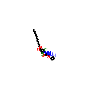 CCCCCCCCCCCCCCOC(=O)c1cc(Cl)c(-n2[nH]c(NC(=O)Nc3ccccc3)cc2=O)c(Cl)c1